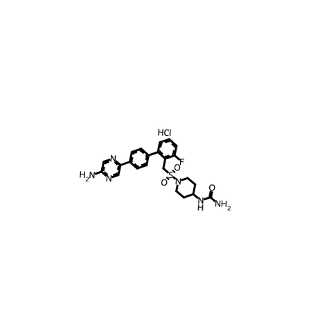 Cl.NC(=O)NC1CCN(S(=O)(=O)Cc2c(F)cccc2-c2ccc(-c3cnc(N)cn3)cc2)CC1